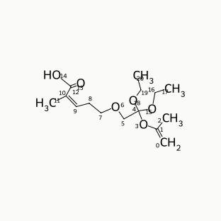 C=C(C)OC(COCCC=C(C)C(=O)O)(OCC)OCC